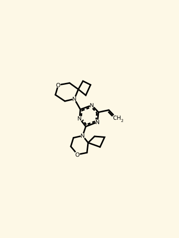 C=Cc1nc(N2CCOCC23CCC3)nc(N2CCOCC23CCC3)n1